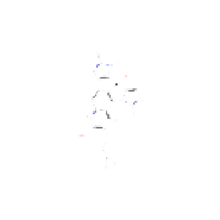 COc1nc2ccc3c(c2c(Cl)c1OCC1CC1)-n1c(cnc1C)C3(O)c1cnc(C)n1C